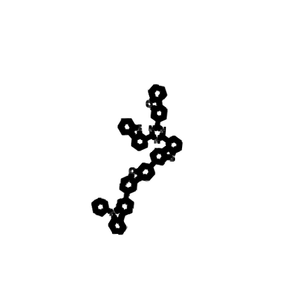 c1ccc(-n2c3ccccc3c3ccc(-c4ccc5oc6cc(-c7ccc8c(c7)sc7cccc(-c9nc(-c%10ccc%11c(c%10)oc%10ccccc%10%11)nc(-c%10cccc%11c%10sc%10ccccc%10%11)n9)c78)ccc6c5c4)cc32)cc1